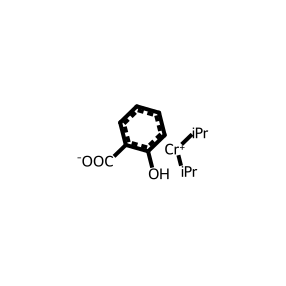 C[CH](C)[Cr+][CH](C)C.O=C([O-])c1ccccc1O